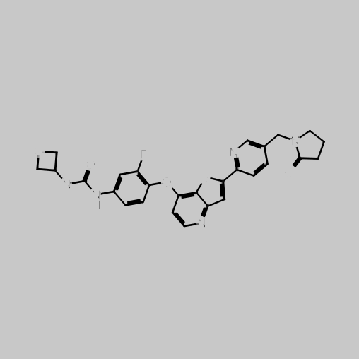 O=C(Nc1ccc(Oc2ccnc3cc(-c4ccc(CN5CCCC5=O)cn4)sc23)c(F)c1)NC1COC1